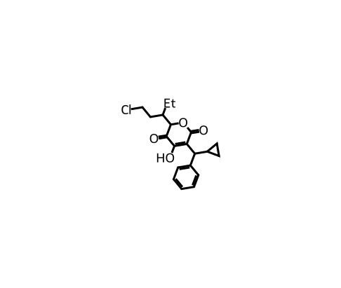 CCC(CCCl)C1OC(=O)C(C(c2ccccc2)C2CC2)=C(O)C1=O